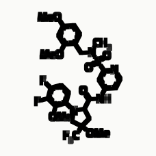 COc1ccc(CN(C)S(=O)(=O)c2cc(NC(=O)C3CC(OC)(C(F)(F)F)CN3c3ccc(F)c(F)c3OC)ccn2)c(OC)c1